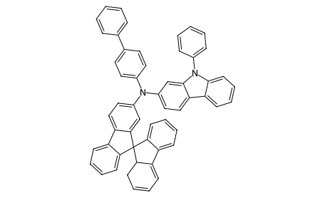 C1=CCC2C(=C1)c1ccccc1C21c2ccccc2-c2ccc(N(c3ccc(-c4ccccc4)cc3)c3ccc4c5ccccc5n(-c5ccccc5)c4c3)cc21